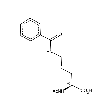 CC(=O)N[C@@H](CSCNC(=O)c1ccccc1)C(=O)O